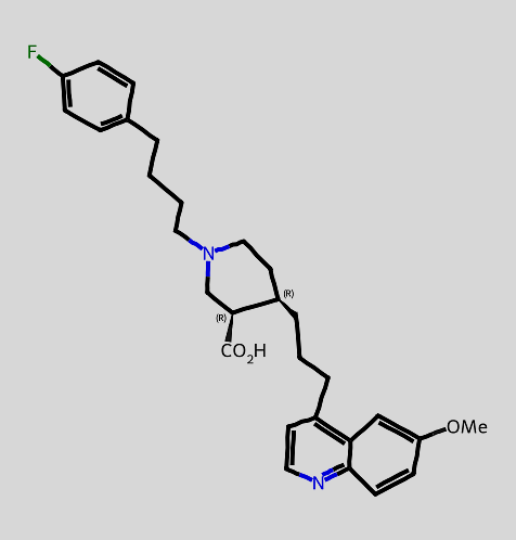 COc1ccc2nccc(CCC[C@@H]3CCN(CCCCc4ccc(F)cc4)C[C@@H]3C(=O)O)c2c1